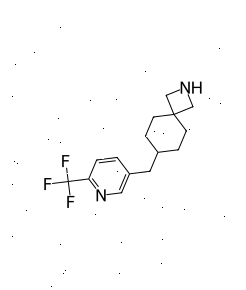 FC(F)(F)c1ccc(CC2CCC3(CC2)CNC3)cn1